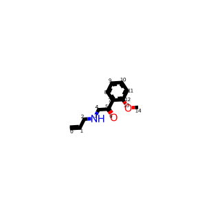 C=CCNCC(=O)c1ccccc1OC